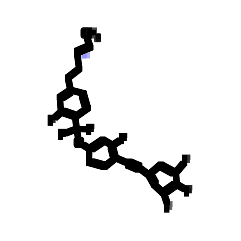 C/C=C/CCc1ccc(C(F)(F)Oc2ccc(C#Cc3cc(F)c(F)c(F)c3)c(F)c2)c(F)c1